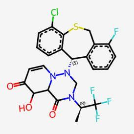 C[C@@H](N1CN([C@H]2c3cccc(F)c3CSc3c(Cl)cccc32)N2C=CC(=O)C(O)C2C1=O)C(F)(F)F